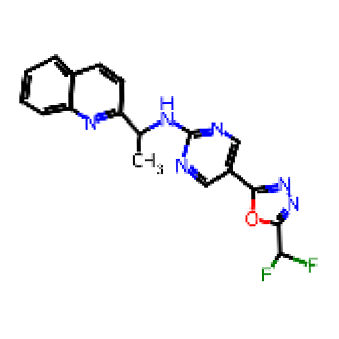 CC(Nc1ncc(-c2nnc(C(F)F)o2)cn1)c1ccc2ccccc2n1